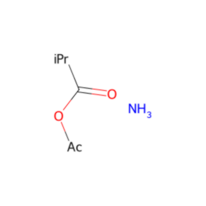 CC(=O)OC(=O)C(C)C.N